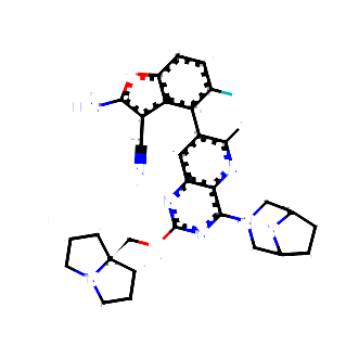 Cc1nc2c(N3CC4CCC(C3)N4)nc(OC[C@@]34CCCN3C[C@H](F)C4)nc2cc1-c1c(F)ccc2oc(N)c(C#N)c12